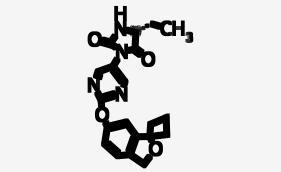 CC[C@H]1NC(=O)N(c2cnc(Oc3ccc4c(c3)C3(CCC3)OC4)nc2)C1=O